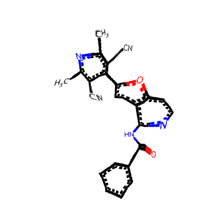 Cc1nc(C)c(C#N)c(-c2cc3c(NC(=O)c4ccccc4)nccc3o2)c1C#N